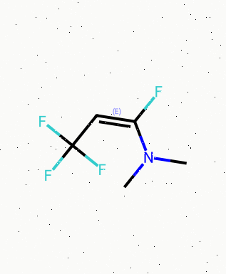 CN(C)/C(F)=C\C(F)(F)F